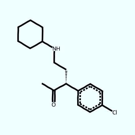 CC(=O)[C@H](CCNC1CCCCC1)c1ccc(Cl)cc1